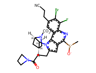 C[S+]([O-])c1nc2c(F)c(Br)c(CCC#N)cc2c2c1cc(CCC(=O)N1CCC1)n2[C@H]1[C@@H]2C[C@H]1N(C(=O)O)C2